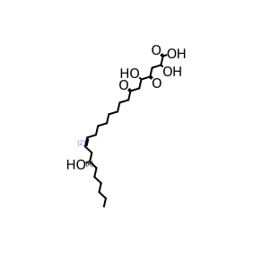 CCCCCC[C@@H](O)C/C=C\CCCCCCCC(=O)CC(O)C(=O)CC(O)C(=O)O